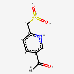 CCC(=O)c1ccc(C[SH](=O)=O)nc1